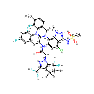 COc1ccc2c(c1F)N=C(C(Cc1cc(F)cc(F)c1)NC(=O)Cn1nc(C(F)F)c3c1C(F)(F)[C@@H]1C[C@H]31)N(c1ccc(Cl)c3c(NS(C)(=O)=O)nn(C)c13)C2